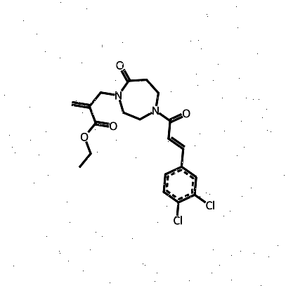 C=C(CN1CCN(C(=O)C=Cc2ccc(Cl)c(Cl)c2)CCC1=O)C(=O)OCC